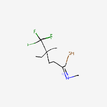 C/N=C(\S)CC(C)(C)C(F)(F)F